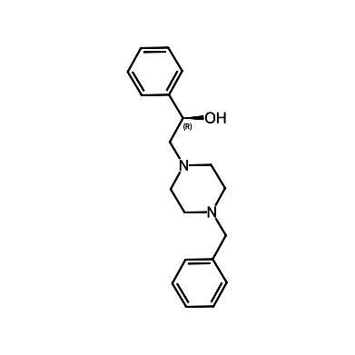 O[C@@H](CN1CCN(Cc2ccccc2)CC1)c1ccccc1